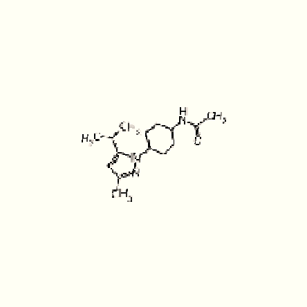 CC(=O)NC1CCC(n2nc(C)cc2C(C)C)CC1